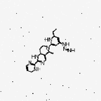 CCC1C=C(NN=N)C=C(N2CCC3NC(C4=NC=CCN4)=NC=C3C2C)N1